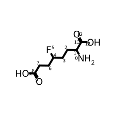 NC(CCC(F)CCC(=O)O)C(=O)O